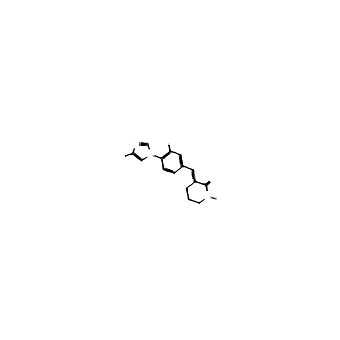 CCc1cn(-c2ccc(/C=C3\CCCN(CC)C3=O)cc2OC)cn1